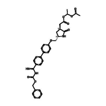 CC(=O)OC(C)OC(=O)C[C@@H]1C[C@@H](COc2ccc(-c3ccc(C(=N)NC(=O)OCc4ccccc4)cc3)cc2)NC1=O